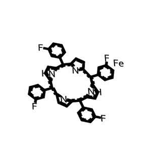 Fc1cccc(-c2c3nc(c(-c4cccc(F)c4)c4ccc([nH]4)c(-c4cccc(F)c4)c4nc(c(-c5cccc(F)c5)c5ccc2[nH]5)C=C4)C=C3)c1.[Fe]